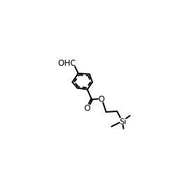 C[Si](C)(C)CCOC(=O)c1ccc(C=O)cc1